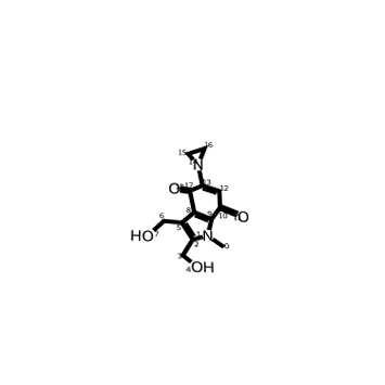 Cn1c(CO)c(CO)c2c1C(=O)C=C(N1CC1)C2=O